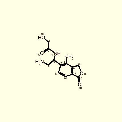 Cc1c(C(CN)NC(=O)CO)ccc2c1COC2=O